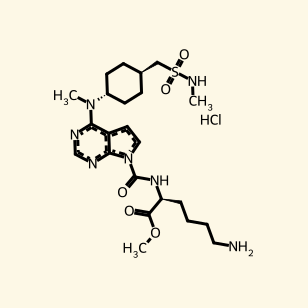 CNS(=O)(=O)C[C@H]1CC[C@H](N(C)c2ncnc3c2ccn3C(=O)N[C@@H](CCCCN)C(=O)OC)CC1.Cl